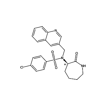 O=C1NCCCC[C@H]1N(Cc1cnc2ccccc2c1)S(=O)(=O)c1ccc(Cl)cc1